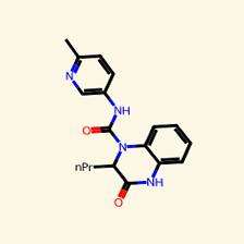 CCCC1C(=O)Nc2ccccc2N1C(=O)Nc1ccc(C)nc1